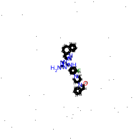 Nc1nc(Nc2ccc(N3CCC(N4C(=O)Cc5ccccc54)CC3)c(F)c2)n(-c2cc3c(nn2)-c2ccccc2CCC3)n1